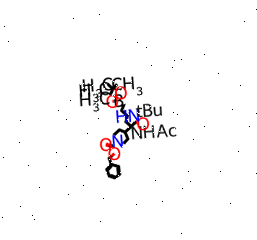 CC(=O)NC(CCCCB1OC(C)(C)C(C)(C)O1)(C(=O)NC(C)(C)C)C1CCN(C(=O)OCc2ccccc2)CC1